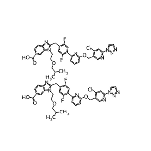 CC(C)COCCn1c(Cc2cc(F)c(-c3cccc(OCc4cnc(-n5ccnn5)cc4Cl)n3)cc2F)nc2ccc(C(=O)O)cc21.CC(C)COCCn1c(Cc2cc(F)c(-c3cccc(OCc4cnc(-n5ccnn5)cc4Cl)n3)cc2F)nc2ccc(C(=O)O)cc21